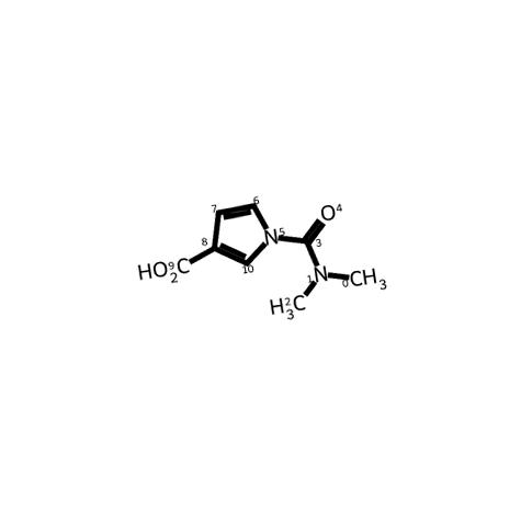 CN(C)C(=O)n1ccc(C(=O)O)c1